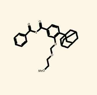 COCCOCOc1cc(C(=O)SC(=O)c2ccccc2)ccc1C12CC3CC(CC(C3)C1)C2